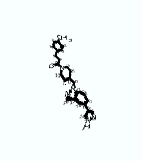 Cc1ccc(CCC(=O)N2CCC(Cn3ncc4cc(-c5cn[nH]c5)ccc43)CC2)cc1